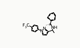 CC(N[C@H](C)c1ccccc1)c1ccn(-c2ccc(C(F)(F)F)cc2)n1